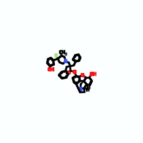 C[C@H]1CN(CC(Cc2ccccc2)(Cc2ccccc2)C(=O)Oc2ccc3c4c2OC2[C@@H](O)C=C[C@H]5[C@H]6CC3N6CC[C@]425)CCC1(F)c1cccc(O)c1